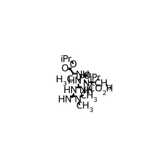 CC(C)OC(=O)[C@H](C)NP(=O)(NC(=N)NC(=N)N(C)C)NC(C)(C(=O)O)C(C)C